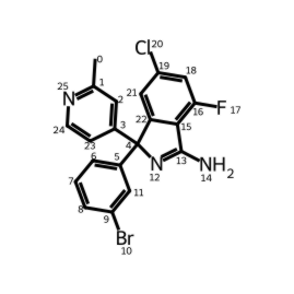 Cc1cc(C2(c3cccc(Br)c3)N=C(N)c3c(F)cc(Cl)cc32)ccn1